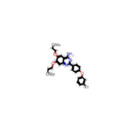 CCc1cccc(Oc2ccc(-c3nc(N)c4cc(OCCOC)c(OCCOC)cc4n3)cc2)c1